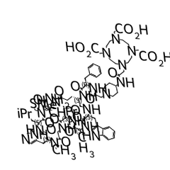 CSCN(C(=O)[C@H](CC(C)C)NC(=O)[C@H](Cc1cnc[nH]1)N(C)C(=O)CNC(=O)[C@@H](NC(=O)[C@H](C)NC(=O)[C@H](Cc1c[nH]c2ccccc12)NC(=O)[C@H](CCC(N)=O)NC(=O)[C@@H](Cc1ccccc1)NC(=O)CN1CCC(NC(=O)CN2CCN(CC(=O)O)CCN(CC(=O)O)CCN(CC(=O)O)CC2)CC1)C(C)C)[C@@H](C)C(N)=O